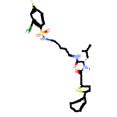 CC(C)C[C@H](NC(=O)c1ccc(-c2ccccc2)s1)C(=O)NCCCCNS(=O)(=O)c1ccc(F)cc1Cl